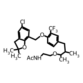 CC(=O)NCCOC(C)C(C)Cc1ccc(OCc2cc(Cl)cc3c2OC(C)(C)C3)c(C(F)(F)F)c1